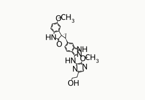 COc1ccc2c(c1)[C@]1(C[C@H]1c1ccc3c(Nc4nc(CCO)cnc4OC)n[nH]c3c1)C(=O)N2